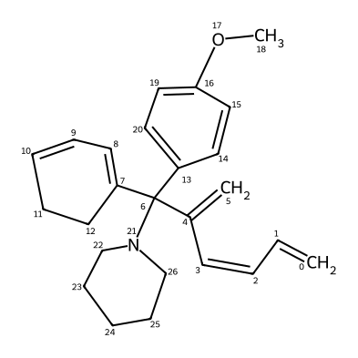 C=C/C=C\C(=C)C(C1=CC=CCC1)(c1ccc(OC)cc1)N1CCCCC1